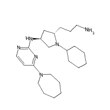 NCCC[C@H]1C[C@H](Nc2nccc(N3CCCCCC3)n2)CN1C1CCCCC1